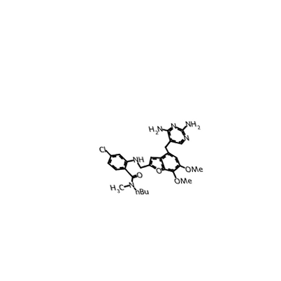 CCCCN(C)C(=O)c1ccc(Cl)cc1NCc1cc2c(Cc3cnc(N)nc3N)cc(OC)c(OC)c2o1